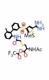 CSc1sc(C(=N)N)cc1S(=O)(=O)c1cccc(-c2c(C)cccc2NC(=O)CSCC(NC(C)=O)C(=O)OC(=O)C(F)(F)F)c1